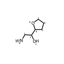 NCC(O)C1CCCO1